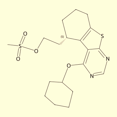 CS(=O)(=O)OCC[C@@H]1CCCc2sc3ncnc(OC4CCCCC4)c3c21